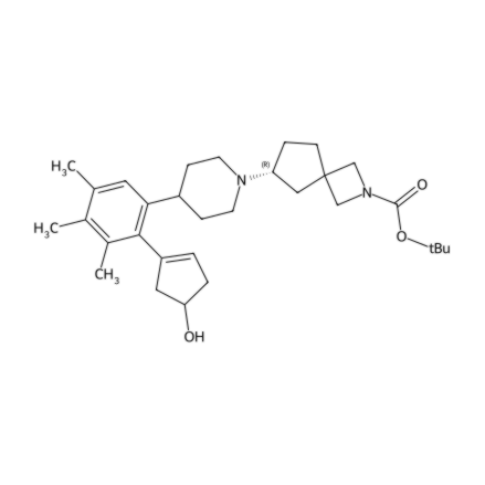 Cc1cc(C2CCN([C@@H]3CCC4(C3)CN(C(=O)OC(C)(C)C)C4)CC2)c(C2=CCC(O)C2)c(C)c1C